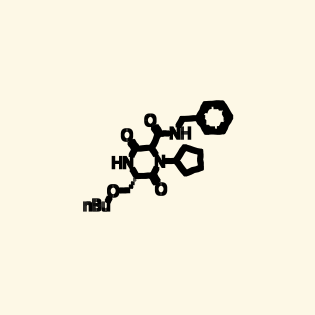 CCCCOC[C@@H]1NC(=O)C(C(=O)NCc2ccccc2)N(C2CCCC2)C1=O